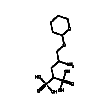 NC(COC1CCCCO1)CC(P(=O)(O)O)P(=O)(O)O